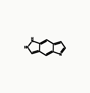 c1cc2cc3[nH][nH]cc3cc2n1